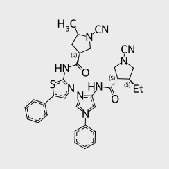 CC1C[C@H](C(=O)Nc2ncc(-c3ccccc3)s2)CN1C#N.CC[C@@H]1CN(C#N)C[C@H]1C(=O)Nc1cn(-c2ccccc2)cn1